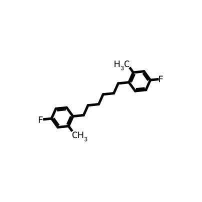 Cc1cc(F)ccc1CCCCCCc1ccc(F)cc1C